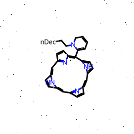 CCCCCCCCCCCCN1CC=CC=C1c1c2nc(cc3ccc(cc4nc(cc5ccc1[nH]5)C=C4)[nH]3)C=C2